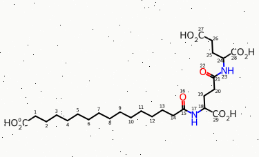 O=C(O)CCCCCCCCCCCCCCC(=O)NC(CCC(=O)NC(CCC(=O)O)C(=O)O)C(=O)O